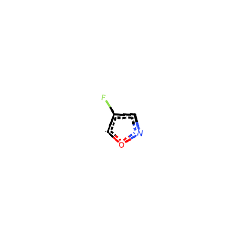 Fc1[c]onc1